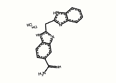 Cl.Cl.N=C(N)c1ccc2[nH]c(Cc3nc4ccccc4[nH]3)nc2c1